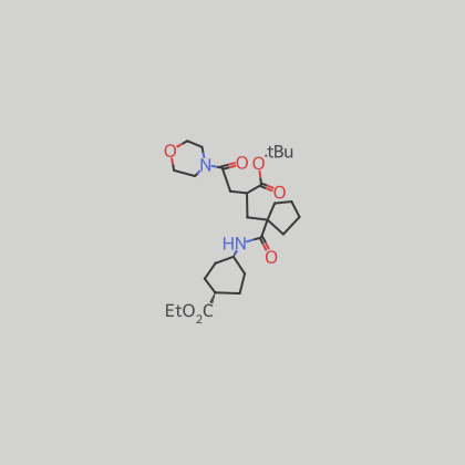 CCOC(=O)[C@H]1CC[C@@H](NC(=O)C2(CC(CC(=O)N3CCOCC3)C(=O)OC(C)(C)C)CCCC2)CC1